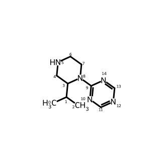 CC(C)C1CNCCN1c1ncncn1